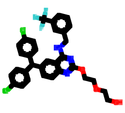 OCCOCCOc1nc(NCc2cccc(C(F)(F)F)c2)c2cc(C(c3ccc(Cl)cc3)c3ccc(Cl)cc3)ccc2n1